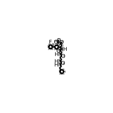 O=C(CCNC(=O)NCCc1ccccc1)NCC(=O)NC(CC(=O)OC(=O)C(F)(F)F)c1ccc(-c2ccccc2)cc1